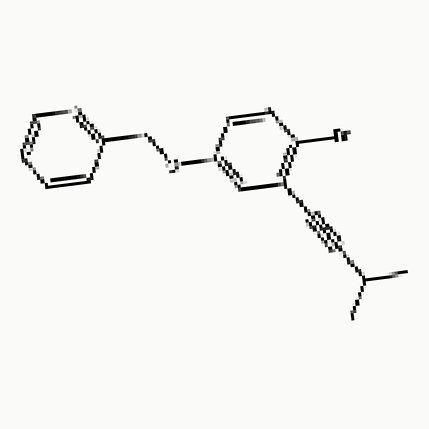 CC(C)C#Cc1cc(OCc2ccccc2)ccc1Br